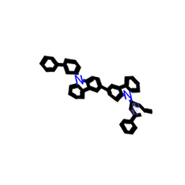 C=C/C=C(\C=C(/C)c1ccccc1)n1c2ccccc2c2cc(-c3ccc4c(c3)c3ccccc3n4-c3cccc(-c4ccccc4)c3)ccc21